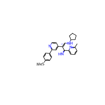 CSc1ccc(-c2cc(/C(=C/NC3CCCC3)C(=N)c3cccc(C)n3)ccn2)cc1